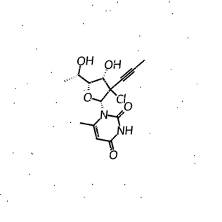 CC#CC1(Cl)[C@@H](O)[C@@H]([C@H](C)O)O[C@H]1n1c(C)cc(=O)[nH]c1=O